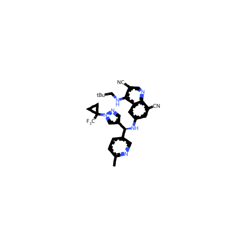 Cc1ccc([C@H](Nc2cc(C#N)c3ncc(C#N)c(NCC(C)(C)C)c3c2)c2cnn(C3(C(F)(F)F)CC3)c2)cn1